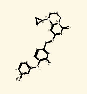 O=c1nc(OCc2ccc(Oc3cccc(C(F)(F)F)c3)c(F)c2)cc2n1CCCN2C1CC1